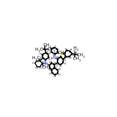 Cc1ccccc1N1B2c3cc(C(C)(C)C)cc4c3N(c3cc5ccccc5c(c32)-c2ccc3c(sc5ccc(C(C)(C)C)cc53)c21)C1(C)CCCCC41C